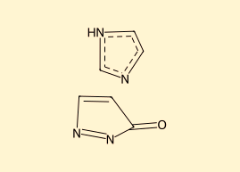 O=C1C=CN=N1.c1c[nH]cn1